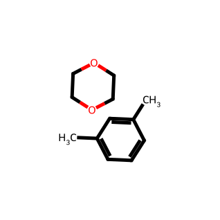 C1COCCO1.Cc1cccc(C)c1